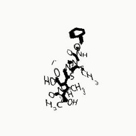 CSc1c2sc(C3=C(C(=O)O)N4C(=O)[C@H]([C@@H](C)O)[C@H]4[C@H]3C)c[n+]2cn1CC(=O)NOCc1ccccc1.[I-]